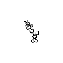 Cc1c(S(=O)(=O)N2CC=C(c3cc4c(cc3Cl)OCO4)CC2)cnn1C